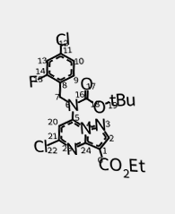 CCOC(=O)c1cnn2c(N(Cc3ccc(Cl)cc3F)C(=O)OC(C)(C)C)cc(Cl)nc12